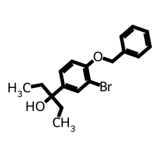 CCC(O)(CC)c1ccc(OCc2ccccc2)c(Br)c1